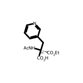 CCOC(=O)[C@@](Cc1cccnc1)(NC(C)=O)C(=O)O